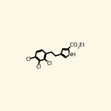 CCOC(=O)c1cc(CCc2ccc(Cl)c(Cl)c2Cl)c[nH]1